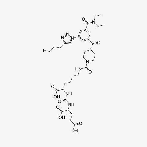 CCN(CC)C(=O)c1cc(C(=O)N2CCN(C(=O)NCCCC[C@H](NC(=O)N[C@@H](CCC(=O)O)C(=O)O)C(=O)O)CC2)cc(-n2cc(CCCF)nn2)c1